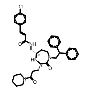 O=C(C=Cc1ccc(Cl)cc1)NC[C@@H]1CCN(CC(c2ccccc2)c2ccccc2)C(=O)[C@H](CCC(=O)N2CCCCC2)N1